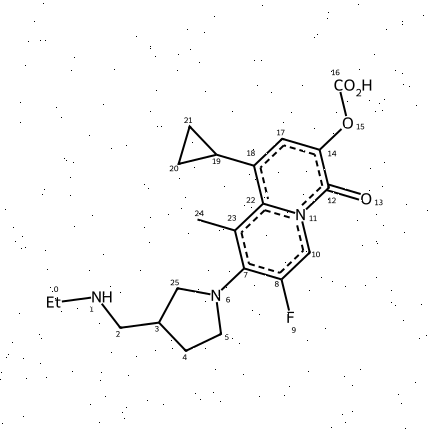 CCNCC1CCN(c2c(F)cn3c(=O)c(OC(=O)O)cc(C4CC4)c3c2C)C1